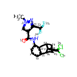 Cn1cc(C(=O)Nc2cccc3c2C2CCC3C2=C(Cl)Cl)c(C(F)F)n1